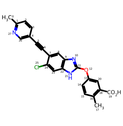 Cc1ccc(C#Cc2cc3nc(Oc4ccc(C)c(C(=O)O)c4)[nH]c3cc2Cl)cn1